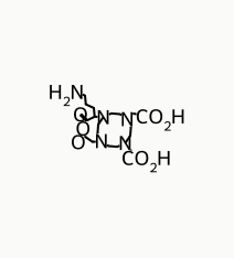 NCCCC1C(=O)OC(=O)CN2CCN(CC(=O)O)CCN(CC(=O)O)CCN1CC2